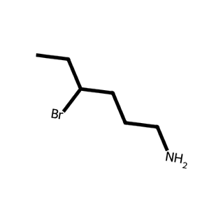 CCC(Br)CCCN